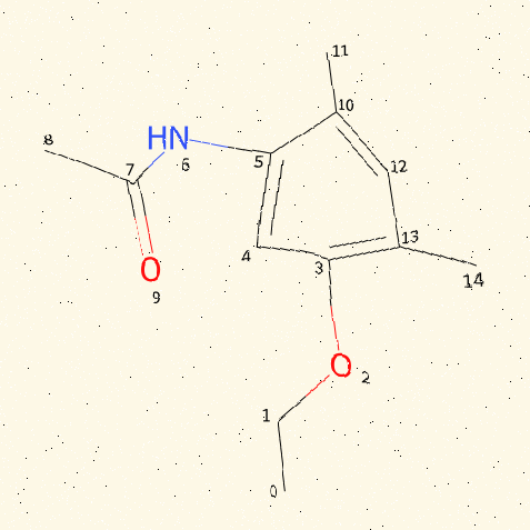 CCOc1cc(NC(C)=O)c(C)cc1C